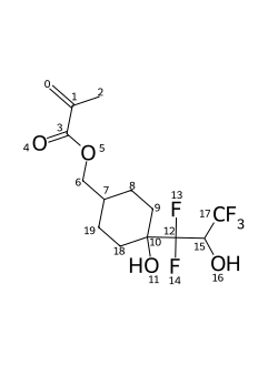 C=C(C)C(=O)OCC1CCC(O)(C(F)(F)C(O)C(F)(F)F)CC1